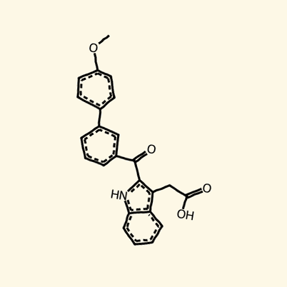 COc1ccc(-c2cccc(C(=O)c3[nH]c4ccccc4c3CC(=O)O)c2)cc1